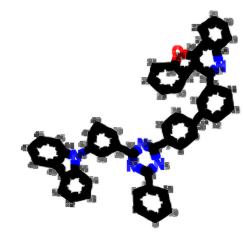 c1ccc(-c2nc(-c3ccc(-c4cccc(-c5nc6ccccc6c6oc7ccccc7c56)c4)cc3)nc(-c3cccc(-n4c5ccccc5c5ccccc54)c3)n2)cc1